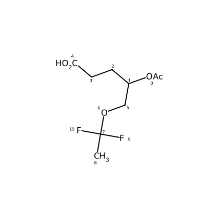 CC(=O)OC(CCC(=O)O)COC(C)(F)F